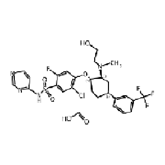 CN(CCO)[C@H]1C[C@@H](c2cccc(C(F)(F)F)c2)CC[C@@H]1Oc1cc(F)c(S(=O)(=O)Nc2ccncn2)cc1Cl.O=CO